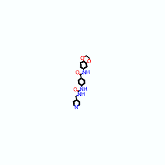 O=C(NCc1ccncc1)Nc1ccc(C(=O)Nc2ccc3c(c2)OCCO3)cc1